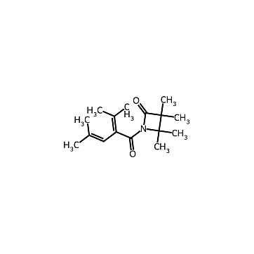 CC(C)=CC(C(=O)N1C(=O)C(C)(C)C1(C)C)=C(C)C